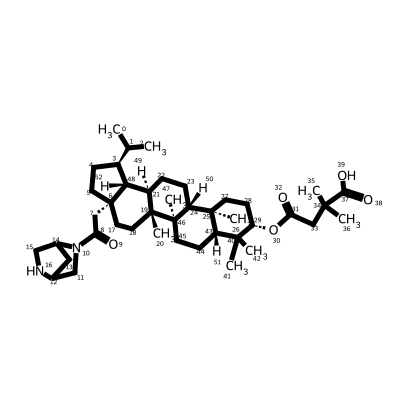 CC(C)[C@@H]1CC[C@]2(CC(=O)N3CC4CC3CN4)CC[C@]3(C)[C@H](CC[C@@H]4[C@@]5(C)CC[C@H](OC(=O)CC(C)(C)C(=O)O)C(C)(C)[C@@H]5CC[C@]43C)[C@@H]12